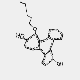 CCCCCOc1c(O)ccc2c3ccc(O)cc3c3ccccc3c12